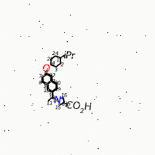 CC(C)C1CCC(Oc2ccc3cc(C(C)N4CC(C(=O)O)C4)ccc3c2)CC1